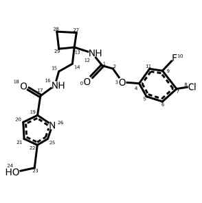 O=C(COc1ccc(Cl)c(F)c1)NC1(CCNC(=O)c2ccc(CO)cn2)CCC1